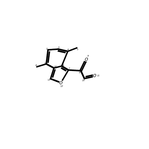 Cc1ccc(C)c2c(C(=O)C=O)occ12